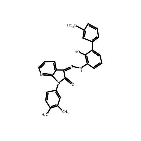 Cc1ccc(N2C(=O)/C(=N\Nc3cccc(-c4cccc(C(=O)O)c4)c3O)c3cccnc32)cc1C